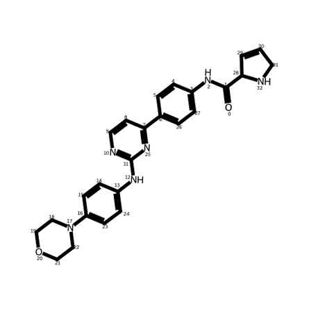 O=C(Nc1ccc(-c2ccnc(Nc3ccc(N4CCOCC4)cc3)n2)cc1)C1C=CCN1